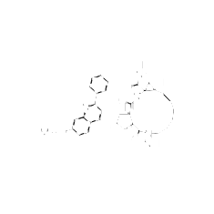 COc1ccc2c(O[C@@H]3C[C@H]4C(=O)NC5(C(N)=O)C[C@H]5/C=C\CCCCN(N)C(=O)[C@@H]4C3)cc(-c3ccccc3)nc2c1